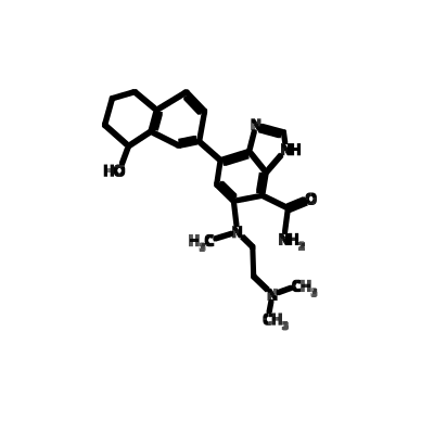 CN(C)CCN(C)c1cc(-c2ccc3c(c2)C(O)CCC3)c2nc[nH]c2c1C(N)=O